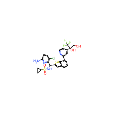 Nc1ccc(Cl)c(C(NS(=O)(=O)C2CC2)c2cc3cccc(-c4cc([C@](O)(CO)C(F)(F)F)ccn4)c3s2)n1